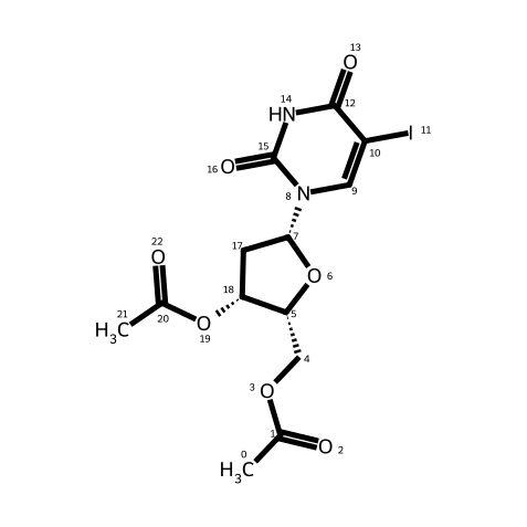 CC(=O)OC[C@H]1O[C@@H](n2cc(I)c(=O)[nH]c2=O)C[C@H]1OC(C)=O